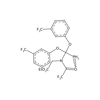 CCOC(=O)CN(C(=O)C(F)(F)F)C(Oc1cccc(C(F)(F)F)c1)(Oc1cccc(C(F)(F)F)c1)[PH2]=S